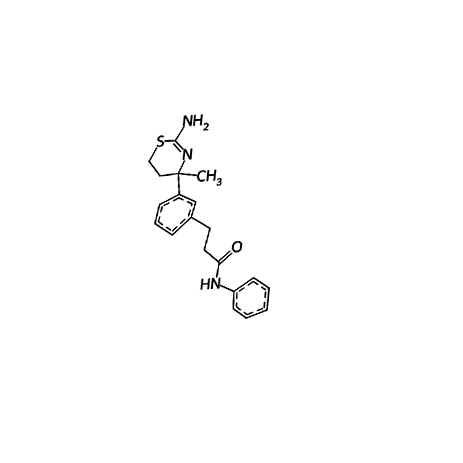 CC1(c2cccc(CCC(=O)Nc3ccccc3)c2)CCSC(N)=N1